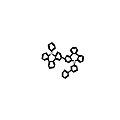 c1ccc(-c2cccc(N3c4ccccc4-c4ccccc4-c4cc(-c5ccc6c(c5)-c5ccccc5-c5ccccc5N6c5ccccc5)ccc43)c2)cc1